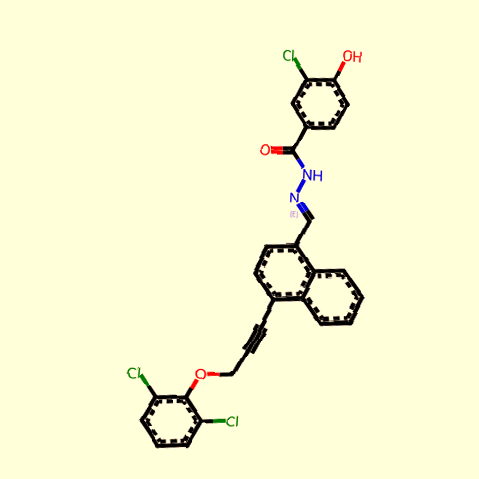 O=C(N/N=C/c1ccc(C#CCOc2c(Cl)cccc2Cl)c2ccccc12)c1ccc(O)c(Cl)c1